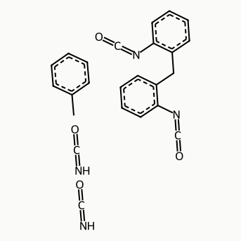 Cc1ccccc1.N=C=O.N=C=O.O=C=Nc1ccccc1Cc1ccccc1N=C=O